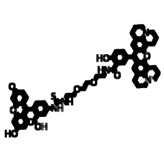 O=C(NCCOCCOCCNC(=S)Nc1ccc(-c2c3ccc(=O)cc-3oc3cc(O)ccc23)c(C(=O)O)c1)c1cc(C2=c3cc4c5c(c3Oc3c2cc2c6c3CCCN6CCC2)CCC[N+]=5CCC4)ccc1O